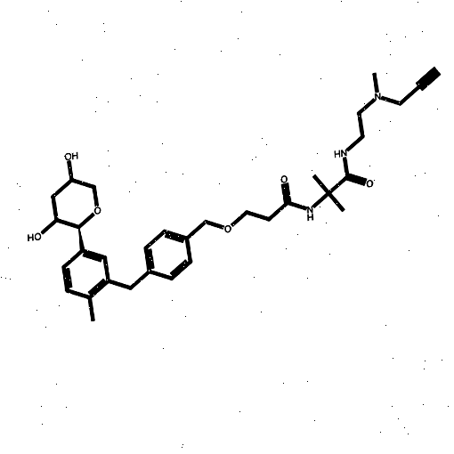 C#CCN(C)CCNC(=O)C(C)(C)NC(=O)CCOCc1ccc(Cc2cc([C@@H]3OCC(O)CC3O)ccc2C)cc1